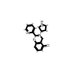 Fc1cccc(Cl)c1CN(Cc1ccccn1)[C@H]1CCNC1